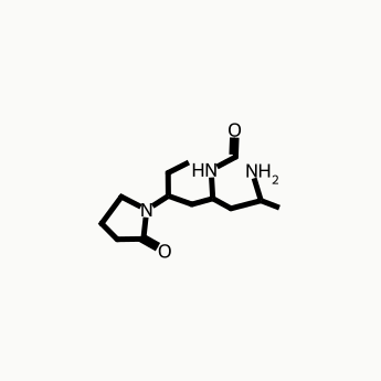 CCC(CC(CC(C)N)NC=O)N1CCCC1=O